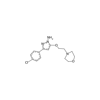 Nn1nc(-c2ccc(Cl)cc2)cc1OCCN1CCOCC1